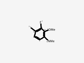 CNc1ccc(I)c(F)c1OC